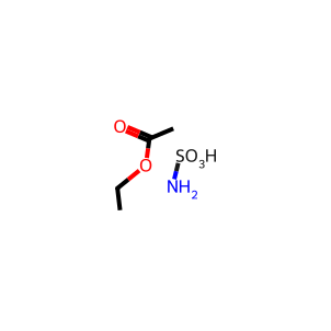 CCOC(C)=O.NS(=O)(=O)O